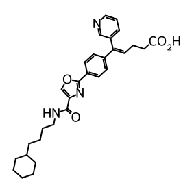 O=C(O)CCC=C(c1ccc(-c2nc(C(=O)NCCCCC3CCCCC3)co2)cc1)c1cccnc1